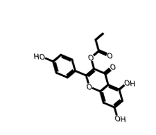 CCC(=O)Oc1c(-c2ccc(O)cc2)oc2cc(O)cc(O)c2c1=O